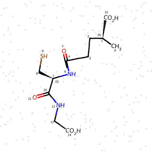 C[C@@H](CCC(=O)N[C@H](CS)C(=O)NCC(=O)O)C(=O)O